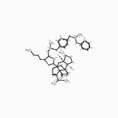 CCCCC1CC(C23C[C@@H]4[C@H](C)CC[C@H]4C4(C=O)CC2C=C(C(C)C)C34C(=O)O)OC1CN(C)Cc1ccc(CN(C)Cc2ccccn2)nc1